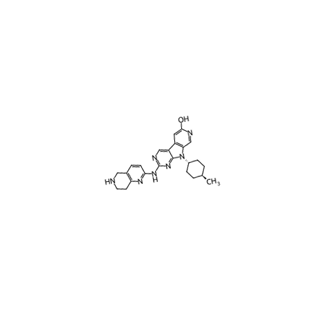 C[C@H]1CC[C@H](n2c3cnc(O)cc3c3cnc(Nc4ccc5c(n4)CCNC5)nc32)CC1